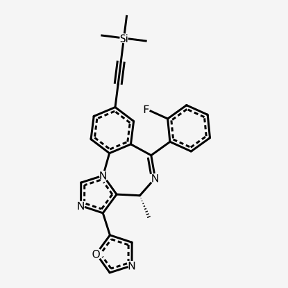 C[C@H]1N=C(c2ccccc2F)c2cc(C#C[Si](C)(C)C)ccc2-n2cnc(-c3cnco3)c21